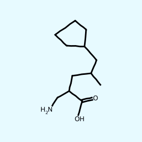 CC(CC1CCCC1)CC(CN)C(=O)O